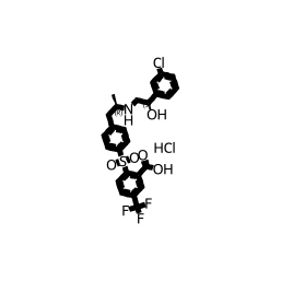 C[C@H](Cc1ccc(S(=O)(=O)c2ccc(C(F)(F)F)cc2C(=O)O)cc1)NC[C@@H](O)c1cccc(Cl)c1.Cl